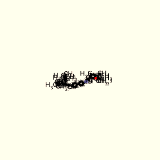 Cc1cc(O[Si](C(C)C)(C(C)C)C(C)C)ccc1OC(=O)/C=C/c1ccc(-c2ccc(OCCC(CO[Si](C)(C)C(C)(C)C)CO[Si](C)(C)C(C)(C)C)cc2)cc1